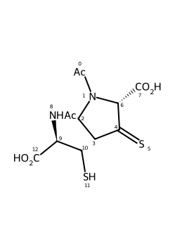 CC(=O)N1CCC(=S)[C@H]1C(=O)O.CC(=O)N[C@@H](CS)C(=O)O